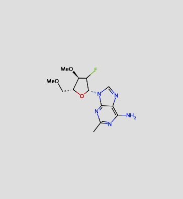 COC[C@H]1O[C@@H](n2cnc3c(N)nc(C)nc32)C(F)[C@@H]1OC